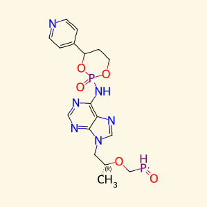 C[C@H](Cn1cnc2c(NP3(=O)OCCC(c4ccncc4)O3)ncnc21)OC[PH]=O